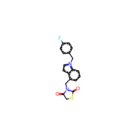 O=C1CSC(=O)N1Cc1cccc2c1ccn2Cc1ccc(F)cc1